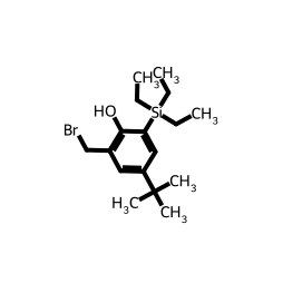 CC[Si](CC)(CC)c1cc(C(C)(C)C)cc(CBr)c1O